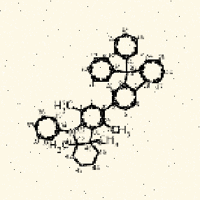 Cc1cc(-c2ccc3c(c2)C(c2ccccc2)(c2ccccc2)c2ccccc2-3)c(C)c2c1N(c1ccccc1)C1(C)CCCCC21C